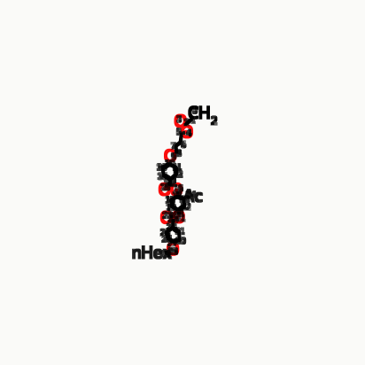 C=CC(=O)OCCCCOc1ccc(C(=O)Oc2ccc(OC(=O)c3ccc(OCCCCCC)cc3)cc2C(C)=O)cc1